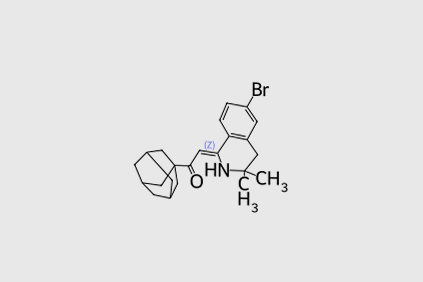 CC1(C)Cc2cc(Br)ccc2/C(=C/C(=O)C23CC4CC(CC(C4)C2)C3)N1